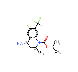 CC(C)OC(=O)N1c2cc(C(F)(F)F)c(F)cc2[C@@H](N)C[C@@H]1C